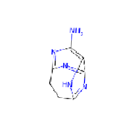 Nc1nc2nc3nc([nH]c13)CC2